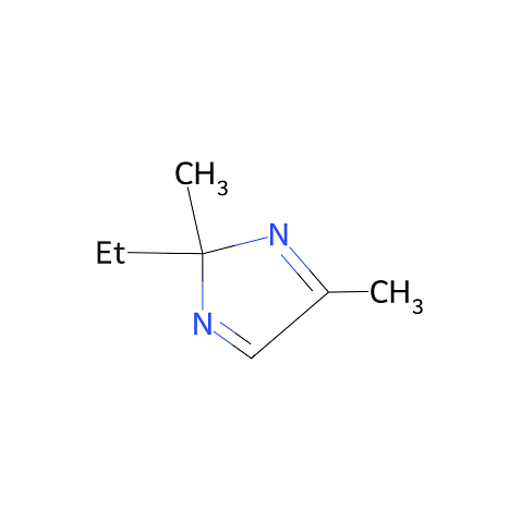 CCC1(C)N=CC(C)=N1